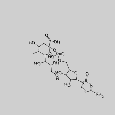 CC1C(O)CC(OP(=O)(O)OCC2OC(n3ccc(N)nc3=O)C(O)C2O)(C(=O)O)OC1C(O)C(O)CO